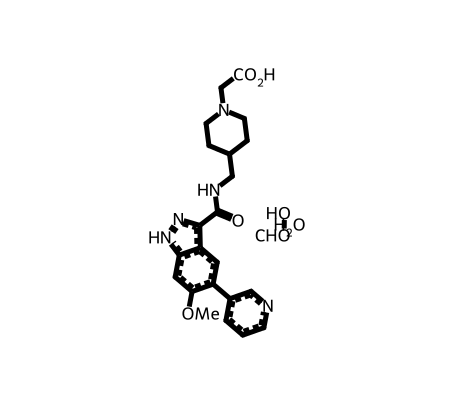 COc1cc2[nH]nc(C(=O)NCC3CCN(CC(=O)O)CC3)c2cc1-c1cccnc1.O.O=CO